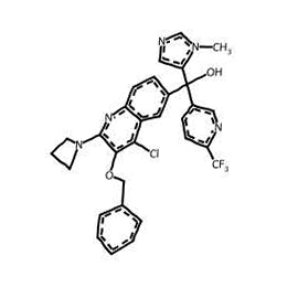 Cn1cncc1C(O)(c1ccc(C(F)(F)F)nc1)c1ccc2nc(N3CCC3)c(OCc3ccccc3)c(Cl)c2c1